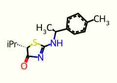 Cc1ccc([C@H](C)NC2=NC(=O)[C@H](C(C)C)S2)cc1